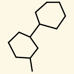 CC1CCCC(C2CCCCC2)C1